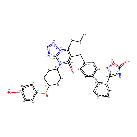 CCCc1c(Cc2ccc(-c3ccccc3-c3noc(=O)[nH]3)cc2)c(=O)n(C2CCC(Oc3ccc(O)cc3)CC2)c2ncnn12